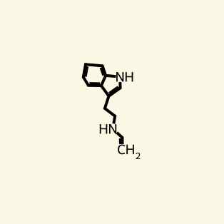 C=CNCCc1c[nH]c2ccccc12